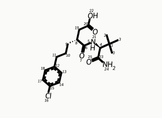 CC(C)(C)[C@H](NC(=O)[C@H](CCCc1ccc(Cl)cc1)CC(=O)O)C(N)=O